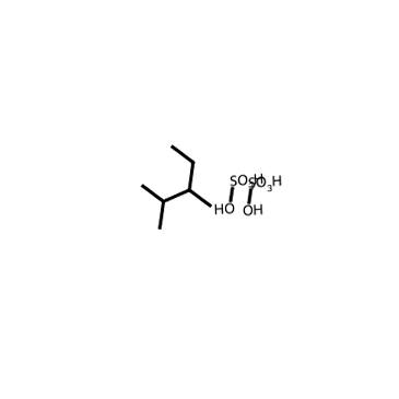 CCC(C)C(C)C.O=S(=O)(O)O.O=S(=O)(O)O